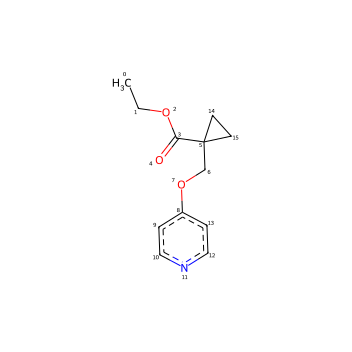 CCOC(=O)C1(COc2ccncc2)CC1